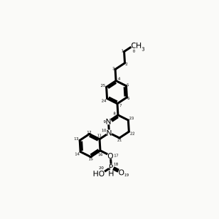 CCCCc1ccc(C2=NN(c3ccccc3O[PH](=O)O)CCC2)cc1